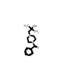 CC(C)(O)CN1CCN(C(=O)c2cc[c]cc2)CC1